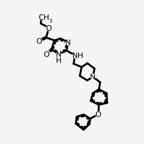 CCOC(=O)c1cnc(NCC2CCN(Cc3ccc(Oc4ccccc4)cc3)CC2)[nH]c1=O